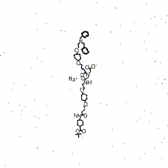 CC(C)(C)OC(=O)C1CCC(NC(=O)CCCOC2CCC(OCCNC(=O)CN(CC(=O)[O-])C(=O)/C=C/COC3CCC(OCCN(Cc4ccccc4)Cc4ccccc4)CC3)CC2)CC1.[Na+]